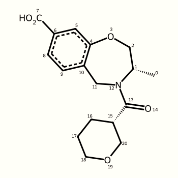 C[C@H]1COc2cc(C(=O)O)ccc2CN1C(=O)[C@H]1CCCOC1